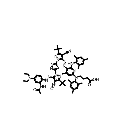 [C-]#[N+]c1c(C(C)(C)C)nn(-c2nnc(-n3nc(C(C)(C)C)c(C#N)c3N=Nc3c(C)cc(N(CCCC(=O)O)c4c(C)cc(C)cc4C)nc3Nc3c(C)cc(C)cc3C)s2)c1N=Nc1ccc(N(CC)CC)cc1NC(C)=O